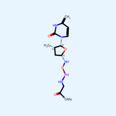 C=C1C=CN([C@@H]2O[C@H](NOPNCC(=O)OC)C[C@@H]2C)C(=O)N1